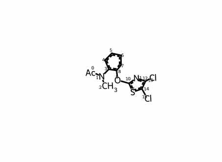 CC(=O)N(C)c1ccccc1Oc1nc(Cl)c(Cl)s1